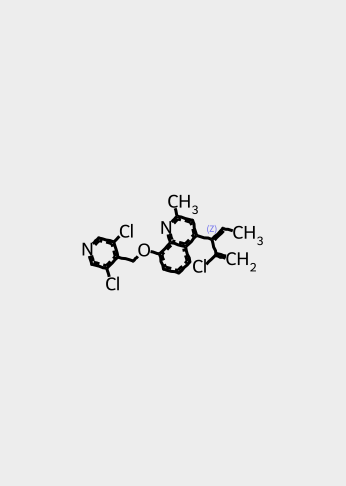 C=C(Cl)/C(=C\C)c1cc(C)nc2c(OCc3c(Cl)cncc3Cl)cccc12